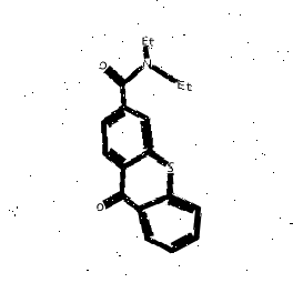 CCN(CC)C(=O)c1ccc2c(=O)c3ccccc3sc2c1